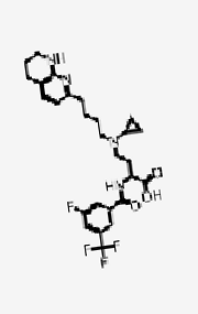 O=C(NC(CCN(CCCCc1ccc2c(n1)NCCC2)C1CC1)C(=O)O)c1cc(F)cc(C(F)(F)F)c1